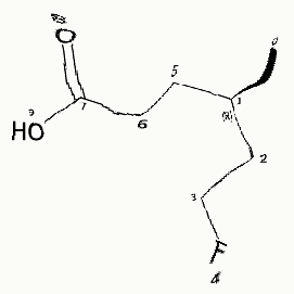 C[C@@H](CCF)CCC(=O)O